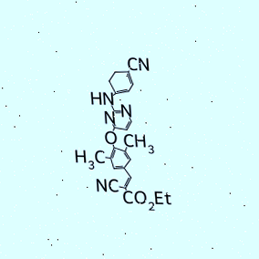 CCOC(=O)/C(C#N)=C/c1cc(C)c(Oc2ccnc(NC3=CC=C(C#N)CC3)n2)c(C)c1